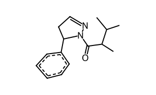 CC(C)C(C)C(=O)N1N=CCC1c1ccccc1